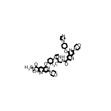 CC(CNC(=O)c1cnc2cc(N3CCOCC3)nc(O[C@H]3CC[C@@H](n4ccnc4)CC3)c2c1)c1nccn1[C@H]1CC[C@@H](Oc2nc(N3CCOCC3)cc3ncc(C(=O)N(C)C)cc23)CC1